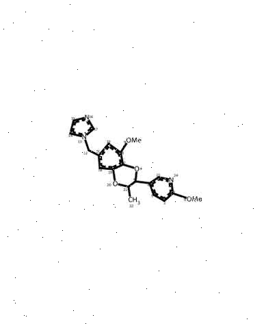 COc1ccc(C2Oc3c(OC)cc(Cn4ccnc4)cc3OC2C)cn1